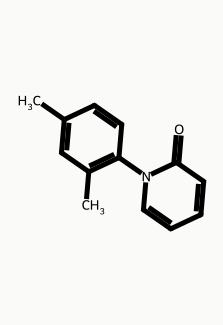 Cc1ccc(-n2ccccc2=O)c(C)c1